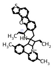 C=CC1C2C(c3cc(C)ccc3-c3ccc(C)c[n+]32)C12Cc1ccc3c(oc4c5ccsc5ccc34)c1/C(=C/C)N2